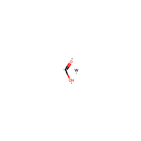 O=CO.[W]